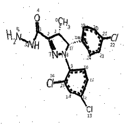 C[C@H]1C(C(=O)NN)=NN(c2ccc(Cl)cc2Cl)[C@H]1c1ccc(Cl)cc1